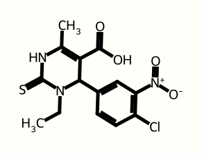 CCN1C(=S)NC(C)=C(C(=O)O)C1c1ccc(Cl)c([N+](=O)[O-])c1